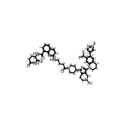 CC(=O)N1CCc2c(c(N3CCCc4cc(-c5cnn(C)c5)c(C(F)F)cc43)nn2C2CCN(C(=O)CCCNc3ccc4cccc(C(=O)NC5CCC(=O)NC5=O)c4n3)CC2)C1